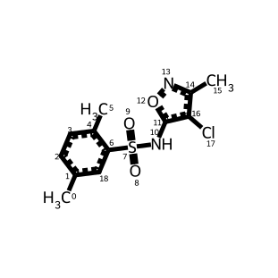 Cc1ccc(C)c(S(=O)(=O)Nc2onc(C)c2Cl)c1